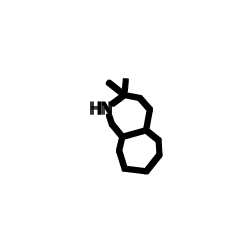 CC1(C)CCC2CCCCCC2CN1